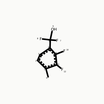 Cc1ccc(C(O)(F)F)c(F)c1F